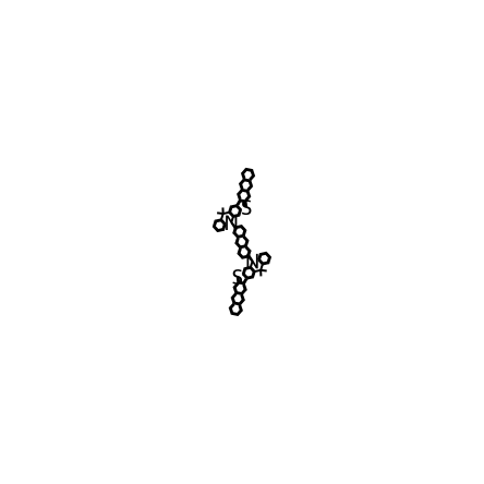 CC1(C)c2ccccc2N(c2ccc3cc4cc(N5c6ccccc6C(C)(C)c6cc7c(cc65)sc5cc6cc8ccccc8cc6cc57)ccc4cc3c2)c2cc3sc4cc5cc6ccccc6cc5cc4c3cc21